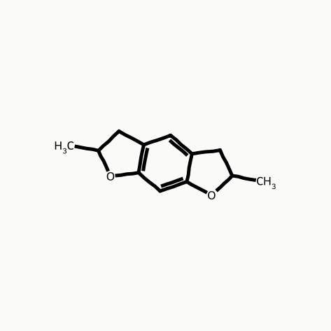 CC1Cc2cc3c(cc2O1)OC(C)C3